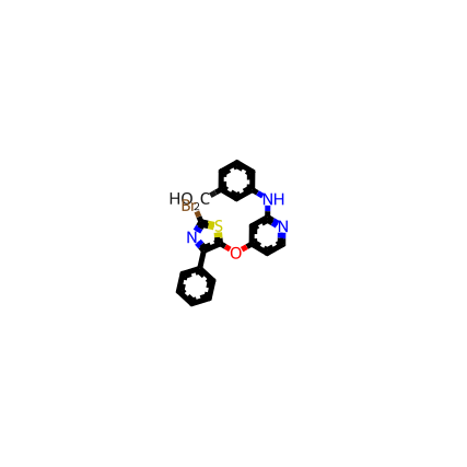 O=C(O)c1cccc(Nc2cc(Oc3sc(Br)nc3-c3ccccc3)ccn2)c1